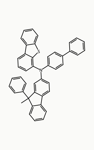 CC1(c2ccccc2)c2ccccc2-c2ccc(N(c3ccc(-c4ccccc4)cc3)c3cccc4c3sc3ccccc34)cc21